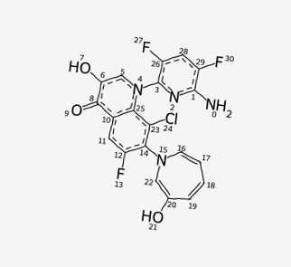 Nc1nc(-n2cc(O)c(=O)c3cc(F)c(N4C=CC=CC(O)=C4)c(Cl)c32)c(F)cc1F